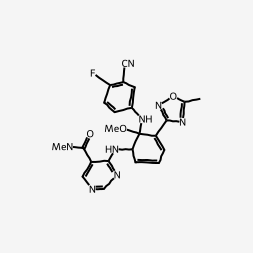 CNC(=O)c1cncnc1NC1C=CC=C(c2noc(C)n2)C1(Nc1ccc(F)c(C#N)c1)OC